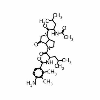 CC(=O)NC(CC(C)C)C(=O)N1CC(=O)C2C1CCN2C(=O)C(CC(C)C)NC(=O)c1ccc(N)c(C)c1C